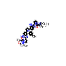 COC(=O)N[C@H](C(=O)N1CCC[C@H]1c1nc2cc([C@H]3CC[C@H](c4ccc5nc([C@@H]6CCCN6C(=O)[C@@H](NC(=O)O)C(C)C)[nH]c5c4)N3c3ccc(C#N)cc3)ccc2[nH]1)C(C)C